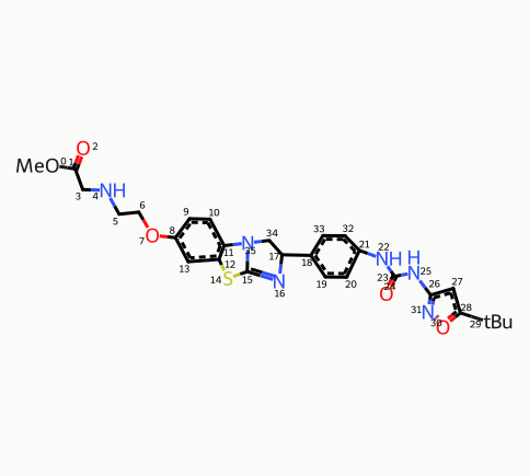 COC(=O)CNCCOc1ccc2c(c1)SC1=NC(c3ccc(NC(=O)Nc4cc(C(C)(C)C)on4)cc3)CN12